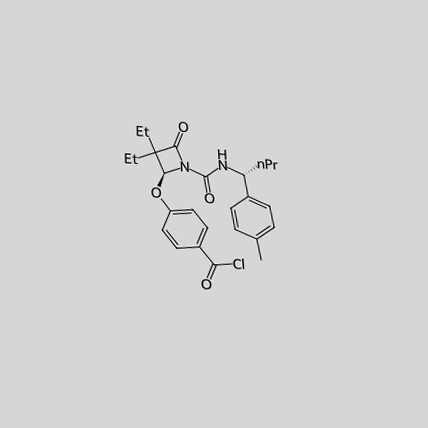 CCC[C@@H](NC(=O)N1C(=O)C(CC)(CC)[C@@H]1Oc1ccc(C(=O)Cl)cc1)c1ccc(C)cc1